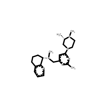 Cc1nc(CN(C)[C@H]2CCCc3cccnc32)cc(N2CCN(C)[C@@H](C)C2)n1